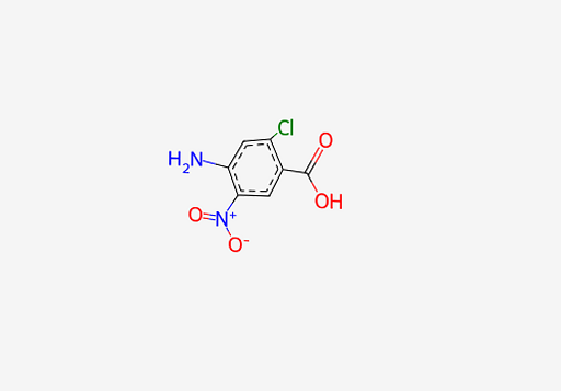 Nc1cc(Cl)c(C(=O)O)cc1[N+](=O)[O-]